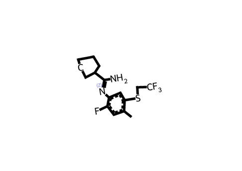 Cc1cc(F)c(/N=C(\N)C2CCCCC2)cc1SCC(F)(F)F